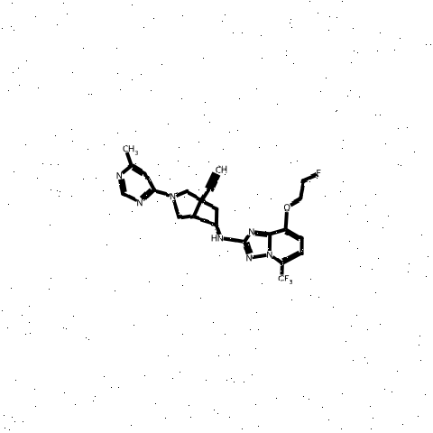 C#CC12CC(Nc3nc4c(OCCF)ccc(C(F)(F)F)n4n3)C1CN(c1cc(C)ncn1)C2